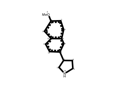 COc1ccc2cc(C3CCNC3)ccc2c1